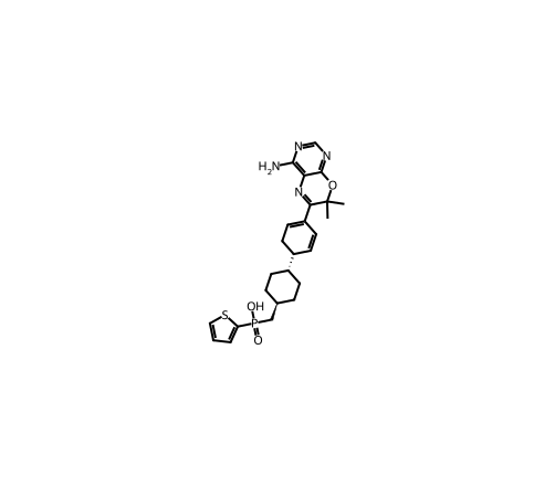 CC1(C)Oc2ncnc(N)c2N=C1C1=CCC([C@H]2CC[C@H](CP(=O)(O)c3cccs3)CC2)C=C1